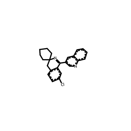 Clc1ccc2c(c1)C(c1cnc3ccccc3c1)=NC1(CCCCC1)C2